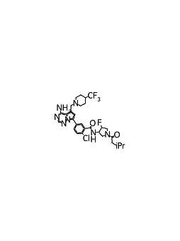 CC(C)CC(=O)N1C[C@H](F)[C@H](NC(=O)c2cc(-c3cc(CN4CCC(C(F)(F)F)CC4)c4c(N)ncnn34)ccc2Cl)C1